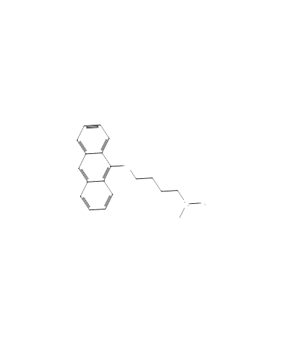 CCCCN(C)CCCCOc1c2ccccc2cc2ccccc12